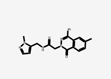 Cc1ccc2c(=O)n(CC(=O)NCc3ccnn3C)nc(C(C)C)c2c1